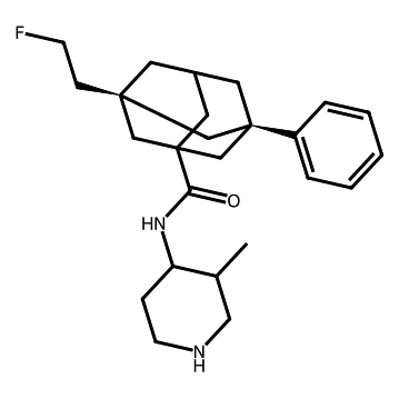 CC1CNCCC1NC(=O)C12CC3C[C@@](CCF)(C1)C[C@](c1ccccc1)(C3)C2